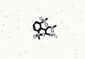 CNCC(CN)c1c(S(C)(=O)=O)cccc1S(C)(=O)=O